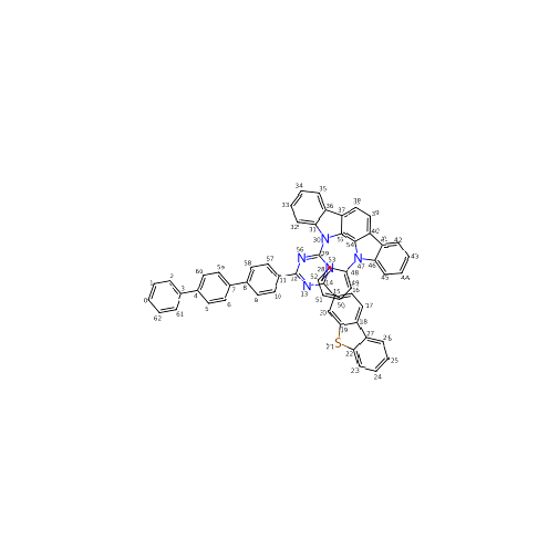 c1ccc(-c2ccc(-c3ccc(-c4nc(-c5ccc6c(c5)sc5ccccc56)nc(-n5c6ccccc6c6ccc7c8ccccc8n(-c8ccccc8)c7c65)n4)cc3)cc2)cc1